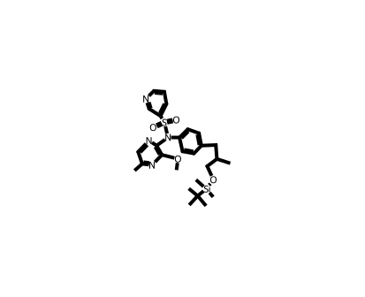 COc1nc(C)cnc1N(c1ccc(CC(C)CO[Si](C)(C)C(C)(C)C)cc1)S(=O)(=O)c1cccnc1